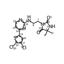 CC1(C)NC(=O)N(CCNc2nccc(-c3cc(Cl)c(Cl)s3)n2)C1=O